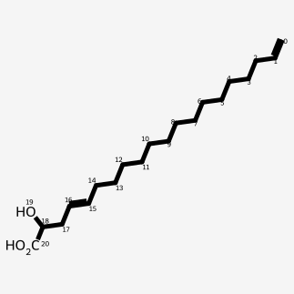 C=CCCCCCCCCCCCCCC=CCC(O)C(=O)O